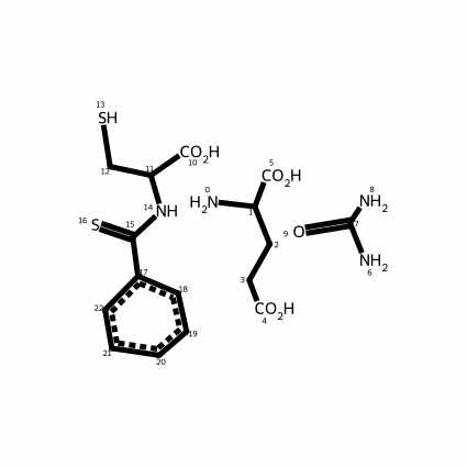 NC(CCC(=O)O)C(=O)O.NC(N)=O.O=C(O)C(CS)NC(=S)c1ccccc1